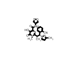 Cc1ccn([C@@H](c2ccccc2C#N)[C@H](C)c2nc(C(=O)Nc3cnoc3)c(O)c(=O)n2C)n1